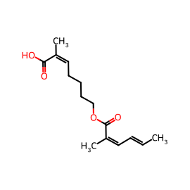 CC=CC=C(C)C(=O)OCCCCC=C(C)C(=O)O